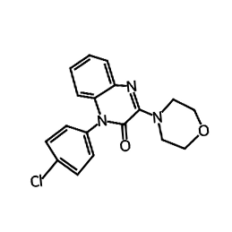 O=c1c(N2CCOCC2)nc2ccccc2n1-c1ccc(Cl)cc1